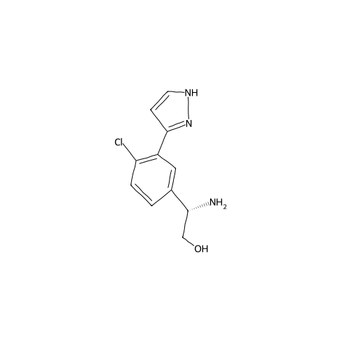 N[C@H](CO)c1ccc(Cl)c(-c2cc[nH]n2)c1